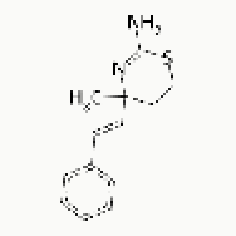 CC1(/C=C/c2ccccc2)CCSC(N)=N1